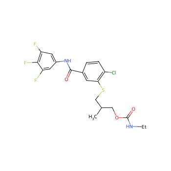 CCNC(=O)OCC(C)CSc1cc(C(=O)Nc2cc(F)c(F)c(F)c2)ccc1Cl